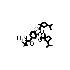 CC(C)C1CCC(C)(C(=O)Oc2ccc(C(=O)C(N)C(C)(C)C)cc2OC(=O)C2(C)CCC(C(C)C)C2)C1